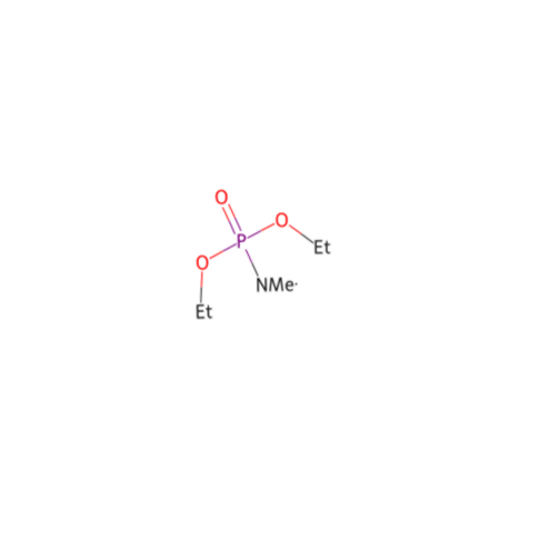 CCOP(=O)([N]C)OCC